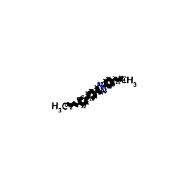 CCCCC[C@H]1CC[C@H]([C@H]2CC[C@H](c3cnc([C@H]4CC[C@H](CCCC)CC4)nc3)CC2)CC1